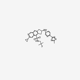 Cc1noc(-c2ccc(N[C@@H]3Cc4cc5cnc(C6CC6)cc5c(S(=O)(=O)NCC(C)(C)F)c4C3)cn2)n1